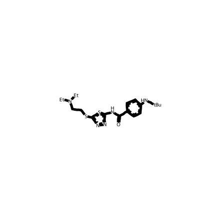 CCN(CC)CCSc1nnc(NC(=O)c2ccc(NC(C)(C)C)cc2)s1